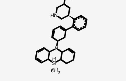 CC1CNC[C@H](c2ccccc2C2=CC=CC(N3C4C=CC=CC4[SiH](C)C4CCC=CC43)C2)C1